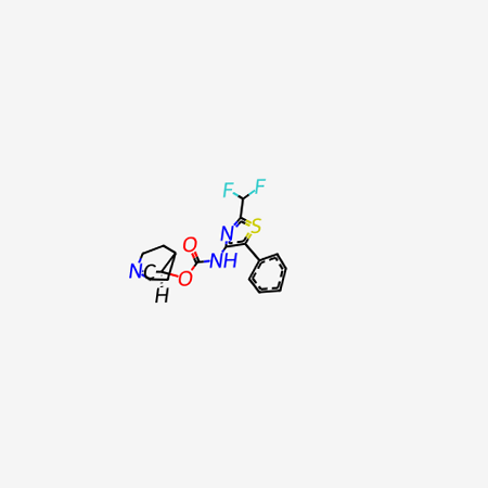 O=C(Nc1nc(C(F)F)sc1-c1ccccc1)O[C@H]1CN2CCC1CC2